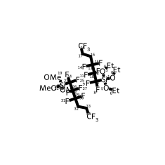 CCO[Si](OCC)(OCC)C(F)(F)C(F)(F)C(F)(F)CCC(F)(F)F.CO[Si](OC)(OC)C(F)(F)C(F)(F)C(F)(F)CCC(F)(F)F